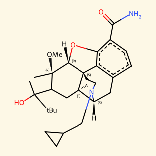 CO[C@]1(C)C(C(C)(O)C(C)(C)C)C[C@]2(C)[C@H]3Cc4ccc(C(N)=O)c5c4[C@@]2(CCN3CC2CC2)[C@H]1O5